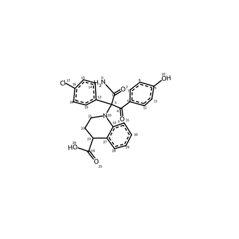 NC(=O)C(C(=O)c1ccc(O)cc1)(c1ccc(Cl)cc1)N1CCC(C(=O)O)c2ccccc21